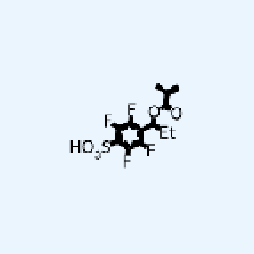 C=C(C)C(=O)OC(CC)c1c(F)c(F)c(S(=O)(=O)O)c(F)c1F